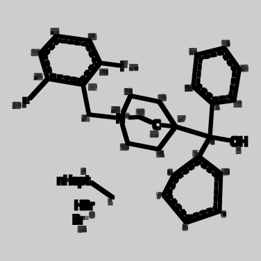 Br.CCCCCCCC.OC(c1ccccc1)(c1ccccc1)C12CC[N+](Cc3c(F)cccc3F)(CC1)CC2.[Br-]